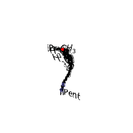 CCCCC/C=C/C/C=C/CCCCCCCCCC(=O)O[C@H]1CCC2(C)C(=CCC3C2CCC2(C)C3CC[C@@H]2[C@H](C)CCCC(C)C)C1